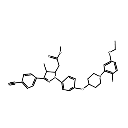 CCOc1ccc(F)c(N2CCC(Oc3ccc(N4N=C(c5ccc(C#N)cc5)C(C)C4CC(=O)OC)cc3)CC2)c1